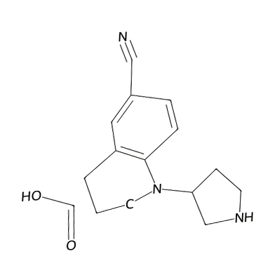 N#Cc1ccc2c(c1)CCCN2C1CCNC1.O=CO